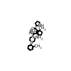 Cc1ccccc1N1CCN(C(=O)C2C(C(=O)[C@@H]3CCCN3)C3(C)CCC2(N)C3(C)C)CC1